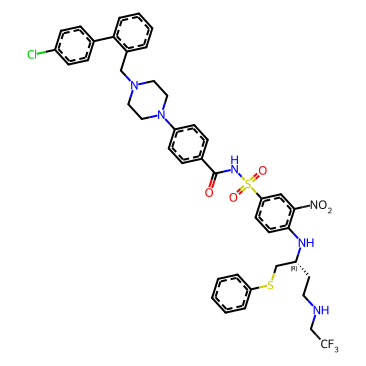 O=C(NS(=O)(=O)c1ccc(N[C@H](CCNCC(F)(F)F)CSc2ccccc2)c([N+](=O)[O-])c1)c1ccc(N2CCN(Cc3ccccc3-c3ccc(Cl)cc3)CC2)cc1